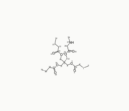 CCCC(=O)OCC(COC(=O)CCC)(COC(=O)CCC)COC(=O)CNC